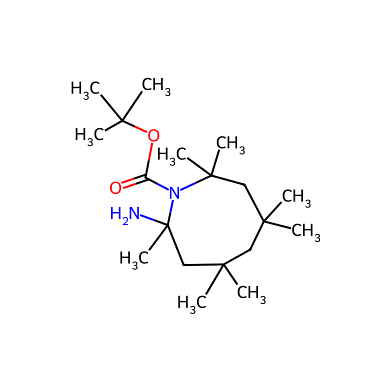 CC1(C)CC(C)(C)CC(C)(N)N(C(=O)OC(C)(C)C)C(C)(C)C1